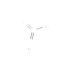 [CH2][S-](=O)=O.[Na+]